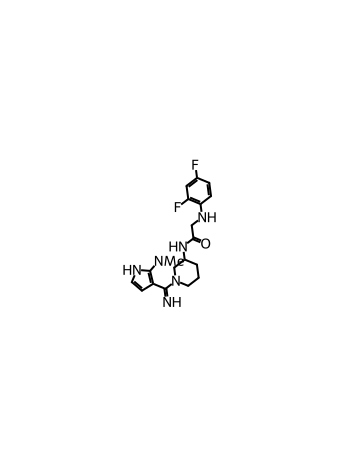 CNc1[nH]ccc1C(=N)N1CCCC(NC(=O)CNc2ccc(F)cc2F)C1